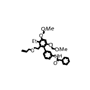 C=CCOCCc1c(CC)c(OCOC)cc(OCOC)c1-c1cccc(NC(=O)c2ccccc2)c1